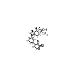 CC(C)(O)c1ccc2c(c1)ncn2-c1cccc(-c2ccnc(Cl)c2F)c1